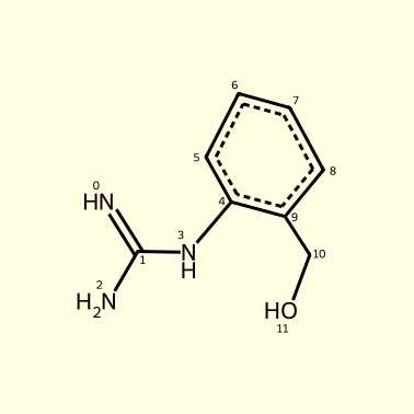 N=C(N)Nc1ccccc1CO